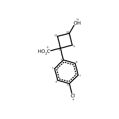 O=C(O)C1(c2ccc(Cl)cc2)CC(O)C1